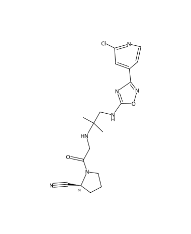 CC(C)(CNc1nc(-c2ccnc(Cl)c2)no1)NCC(=O)N1CCC[C@H]1C#N